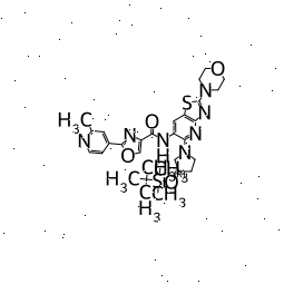 Cc1cc(-c2nc(C(=O)Nc3cc4sc(N5CCOCC5)nc4nc3N3CC[C@@H](O[Si](C)(C)C(C)(C)C)C3)co2)ccn1